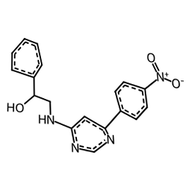 O=[N+]([O-])c1ccc(-c2cc(NCC(O)c3ccccc3)ncn2)cc1